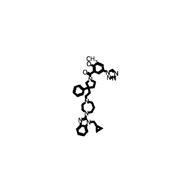 COc1ccc(-n2cnnn2)cc1C(=O)N1CCC(CCN2CCCN(c3nc4ccccc4n3CC3CC3)CC2)(c2ccccc2)C1